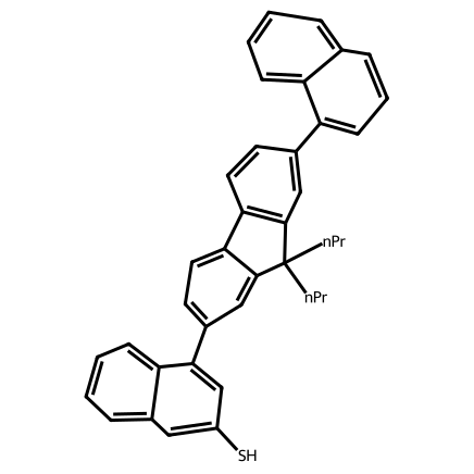 CCCC1(CCC)c2cc(-c3cccc4ccccc34)ccc2-c2ccc(-c3cc(S)cc4ccccc34)cc21